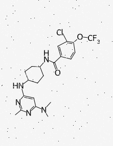 Cc1nc(NC2CCC(NC(=O)c3ccc(OC(F)(F)F)c(Cl)c3)CC2)cc(N(C)C)n1